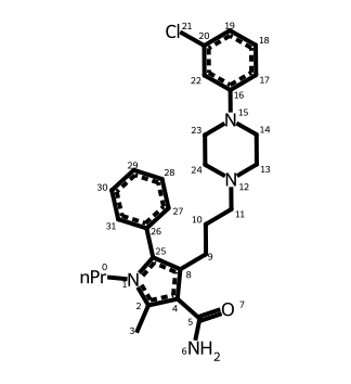 CCCn1c(C)c(C(N)=O)c(CCCN2CCN(c3cccc(Cl)c3)CC2)c1-c1ccccc1